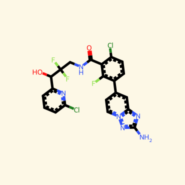 Nc1nc2cc(-c3ccc(Cl)c(C(=O)NCC(F)(F)C(O)c4cccc(Cl)n4)c3F)ccn2n1